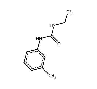 Cc1cccc(NC(=O)NCC(F)(F)F)c1